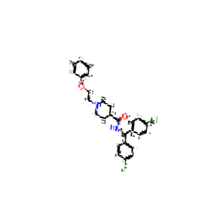 O=C(N[C@@H](c1ccc(F)cc1)c1ccc(Cl)cc1)C1CCN(CCOc2ccccc2)CC1